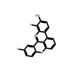 Oc1ccc2c(nc3c4c(cccc42)Oc2ccc(F)cc2-3)c1F